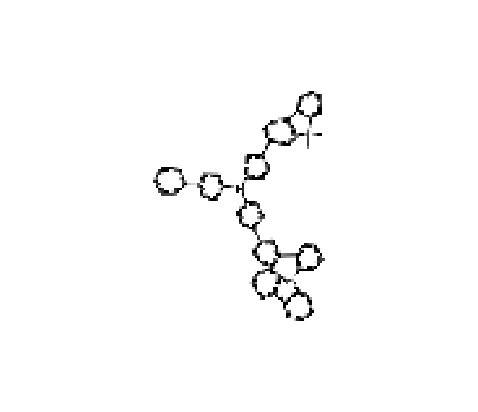 CC1(C)c2ccccc2-c2ccc(-c3ccc(N(c4ccc(-c5ccccc5)cc4)c4ccc(-c5cccc(-c6ccccc6-n6c7ccccc7c7ccccc76)c5)cc4)cc3)cc21